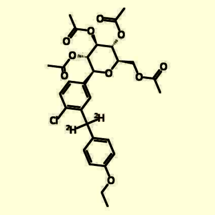 [2H]C([2H])(c1ccc(OCC)cc1)c1cc([C@@H]2O[C@H](COC(C)=O)[C@@H](OC(C)=O)[C@H](OC(C)=O)[C@H]2OC(C)=O)ccc1Cl